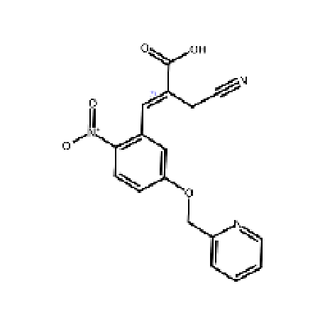 N#CC/C(=C\c1cc(OCc2ccccn2)ccc1[N+](=O)[O-])C(=O)O